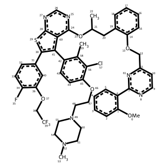 COc1ccccc1-c1nccc(COc2ccccc2CC(C)Oc2ncnc3sc(-c4ccc(F)c(OCC(F)(F)F)c4)c(-c4ccc(OCCN5CCN(C)CC5)c(Cl)c4C)c23)n1